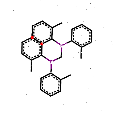 Cc1ccccc1P(CP(c1ccccc1C)c1ccccc1C)c1ccccc1C